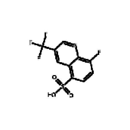 O=S(=O)(O)c1ccc(F)c2ncc(C(F)(F)F)cc12